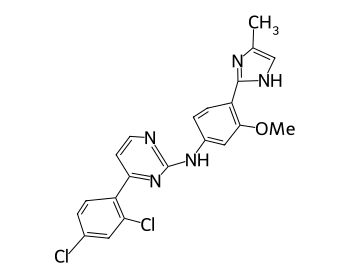 COc1cc(Nc2nccc(-c3ccc(Cl)cc3Cl)n2)ccc1-c1nc(C)c[nH]1